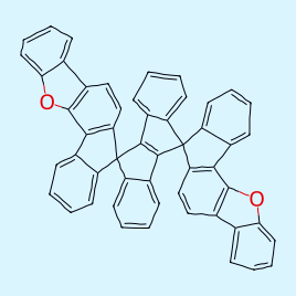 c1ccc2c(c1)C1=C(c3ccccc3C13c1ccccc1-c1c3ccc3c1oc1ccccc13)C21c2ccccc2-c2c1ccc1c2oc2ccccc21